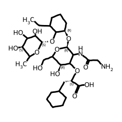 CCC1CCC[C@@H](O[C@@H]2OC(CO)[C@H](O)C(O[C@@H](CC3CCCCC3)C(=O)O)C2NC(=O)CN)C1O[C@@H]1OC(C)[C@@H](O)C(O)C1O